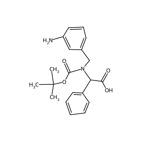 CC(C)(C)OC(=O)N(Cc1cccc(N)c1)C(C(=O)O)c1ccccc1